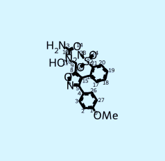 COc1ccc(-c2noc(CN(O)C(N)=O)c2-c2ccccc2S(N)(=O)=O)cc1